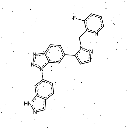 Fc1cccnc1Cn1nccc1-c1ccc2nnn(-c3ccc4cn[nH]c4c3)c2c1